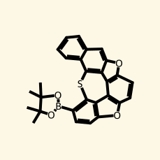 CC1(C)OB(c2ccc3oc4ccc5oc6cc7ccccc7c7sc2c3c4c5c67)OC1(C)C